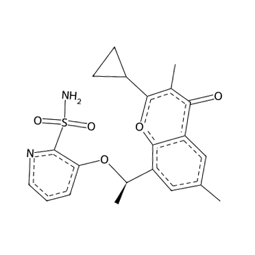 Cc1cc([C@@H](C)Oc2cccnc2S(N)(=O)=O)c2oc(C3CC3)c(C)c(=O)c2c1